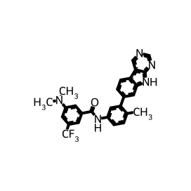 Cc1ccc(NC(=O)c2cc(N(C)C)cc(C(F)(F)F)c2)cc1-c1ccc2c(c1)[nH]c1ncncc12